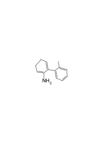 Cc1ccccc1C1=CCCC=C1N